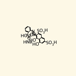 O=S(=O)(O)c1cc(O)c2c(O)c(N=Nc3ccccc3[As](=O)(O)O)c(S(=O)(=O)O)cc2c1.[NaH]